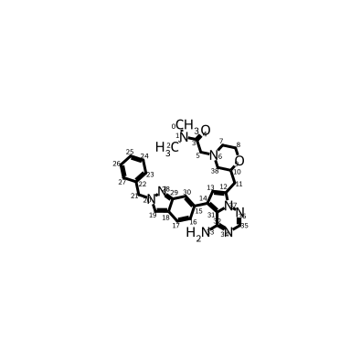 CN(C)C(=O)CN1CCOC(Cc2cc(-c3ccc4cn(Cc5ccccc5)nc4c3)c3c(N)ncnn23)C1